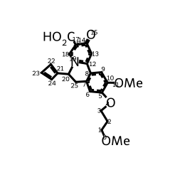 COCCCOc1cc2c(cc1OC)-c1cc(=O)c(C(=O)O)cn1C(C1=CC=C1)C2